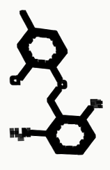 CCc1cccc(N)c1COc1ccc(C)cc1Cl